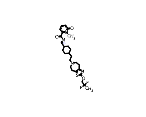 Cn1c(C(=O)/N=C/C2CCC(CCN3CCc4nc(OCC(C)(F)F)sc4CC3)CC2)cccc1=O